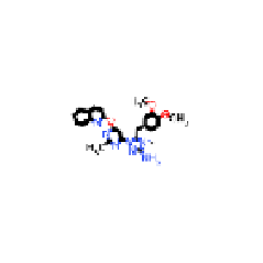 COc1ccc(CC2=[N+]C(N)=NN2c2cc(Oc3ccc4ccccc4n3)nc(C)n2)cc1OC